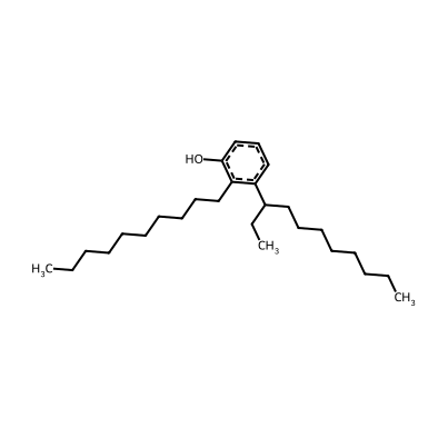 CCCCCCCCCCc1c(O)cccc1C(CC)CCCCCCCC